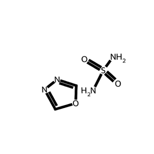 NS(N)(=O)=O.c1nnco1